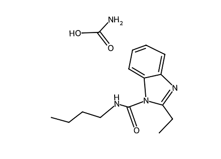 CCCCNC(=O)n1c(CC)nc2ccccc21.NC(=O)O